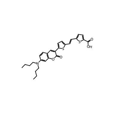 CCCCN(CCCC)c1ccc2cc(-c3ccc(/C=C/c4ccc(C(=O)O)s4)s3)c(=O)oc2c1